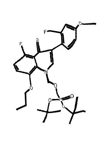 CCCOc1ccc(F)c2c(=O)c(-c3ccc(OC)cc3F)cn(COP(=O)(OC(C)(C)C)OC(C)(C)C)c12